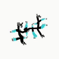 CC(F)(F)C(C)(F)C(F)(F)C(F)(F)C(C)(F)C(C)(F)F